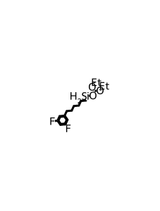 CCOC(OCC)O[SiH2]CCCCCCc1cc(F)cc(F)c1